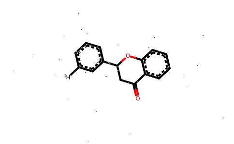 [2H]c1cccc(C2CC(=O)c3ccccc3O2)c1